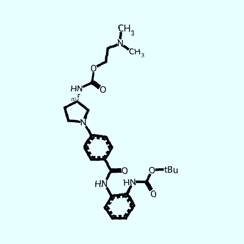 CN(C)CCOC(=O)N[C@H]1CCN(c2ccc(C(=O)Nc3ccccc3NC(=O)OC(C)(C)C)cc2)C1